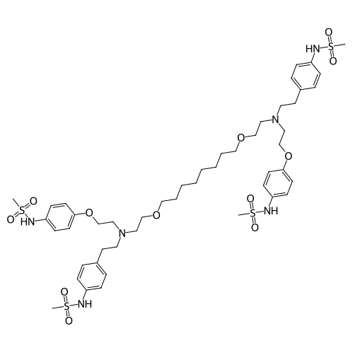 CS(=O)(=O)Nc1ccc(CCN(CCOCCCCCCCCOCCN(CCOc2ccc(NS(C)(=O)=O)cc2)CCc2ccc(NS(C)(=O)=O)cc2)CCOc2ccc(NS(C)(=O)=O)cc2)cc1